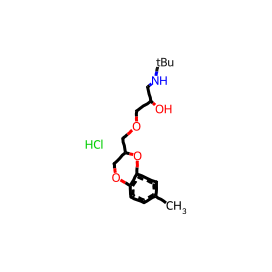 Cc1ccc2c(c1)OC(COCC(O)CNC(C)(C)C)CO2.Cl